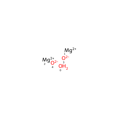 O.[Mg+2].[Mg+2].[O-2].[O-2]